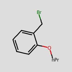 CCCOc1ccccc1CBr